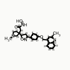 Cc1cc(COc2ccc(C3=NOC(C4(CC(=O)NO)CCN(C)C4)C3)cc2)c2ccccc2n1